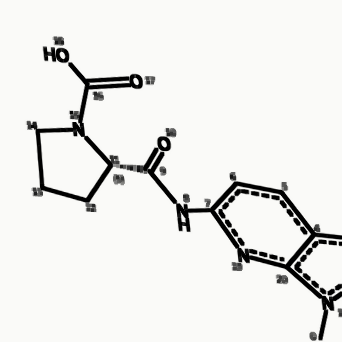 Cn1ccc2ccc(NC(=O)[C@@H]3CCCN3C(=O)O)nc21